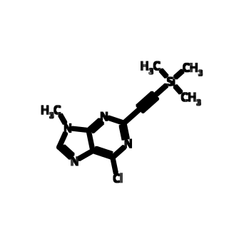 Cn1cnc2c(Cl)nc(C#C[Si](C)(C)C)nc21